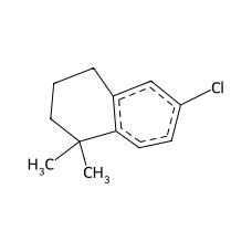 CC1(C)CCCc2cc(Cl)ccc21